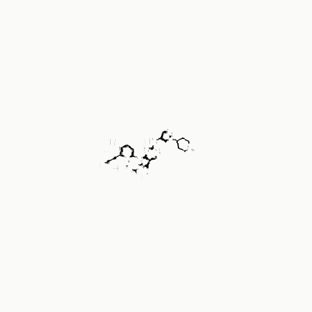 CC(C)n1c(=O)c2cnc(Nc3cnn(C4CCN(C)CC4)c3)nc2n1-c1cccc(C(C)(C)C(F)(F)F)n1